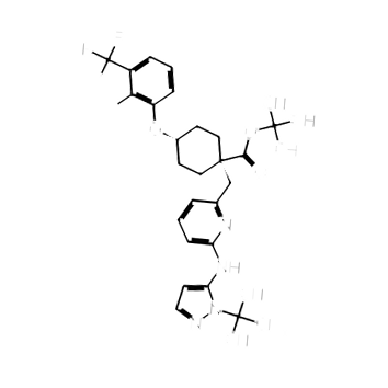 CC(C)(C)OC(=O)[C@]1(Cc2cccc(Nc3ccnn3C(C)(C)C)n2)CC[C@@H](Oc2cccc(C(F)(F)F)c2F)CC1